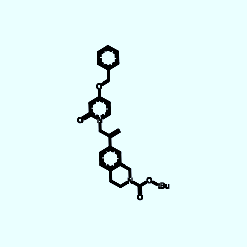 C=C(Cn1ccc(OCc2ccccc2)cc1=O)c1ccc2c(c1)CN(C(=O)OC(C)(C)C)CC2